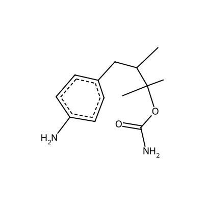 CC(Cc1ccc(N)cc1)C(C)(C)OC(N)=O